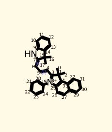 CC1(C)C(/C=C/C=C2/Nc3ccccc3C2(C)C)=[N+](c2ccccc2)c2ccc3ccccc3c21